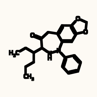 CCCC(CC)C1NN(c2ccccc2)c2cc3c(cc2CC1=O)OCO3